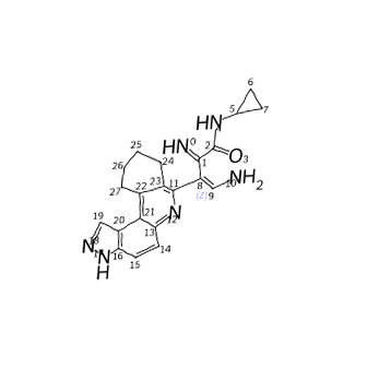 N=C(C(=O)NC1CC1)/C(=C\N)c1nc2ccc3[nH]ncc3c2c2c1CCCC2